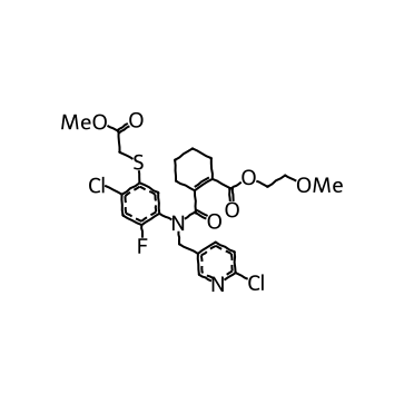 COCCOC(=O)C1=C(C(=O)N(Cc2ccc(Cl)nc2)c2cc(SCC(=O)OC)c(Cl)cc2F)CCCC1